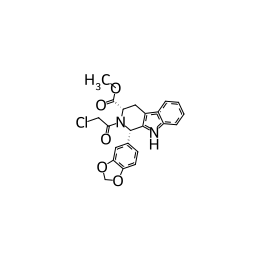 COC(=O)[C@@H]1Cc2c([nH]c3ccccc23)[C@H](c2ccc3c(c2)OCO3)N1C(=O)CCl